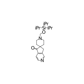 CC(C)[Si](OCN1CCC2(CC1)Cc1cnccc1C2=O)(C(C)C)C(C)C